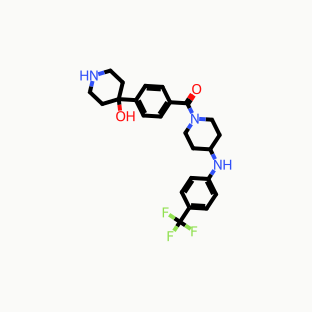 O=C(c1ccc(C2(O)CCNCC2)cc1)N1CCC(Nc2ccc(C(F)(F)F)cc2)CC1